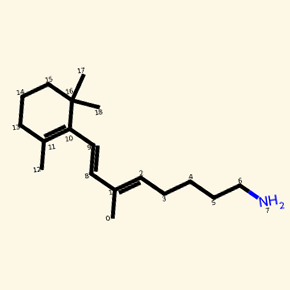 CC(=CCCCCN)/C=C/C1=C(C)CCCC1(C)C